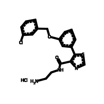 Cl.NCCNC(=O)c1ncsc1-c1cccc(OCc2cccc(Cl)c2)c1